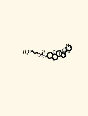 CCCCOC(=O)OC1CCC2(C)C(=CCC3C2CCC2(C)C(c4cccnc4)=CCC32)C1